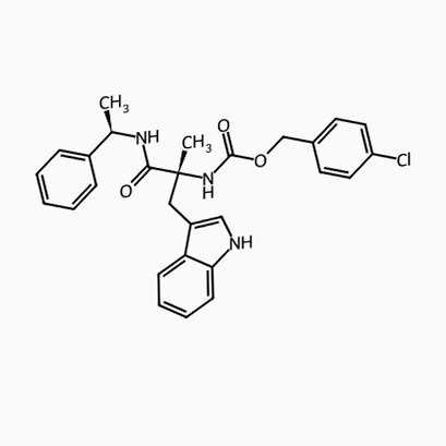 C[C@@H](NC(=O)[C@@](C)(Cc1c[nH]c2ccccc12)NC(=O)OCc1ccc(Cl)cc1)c1ccccc1